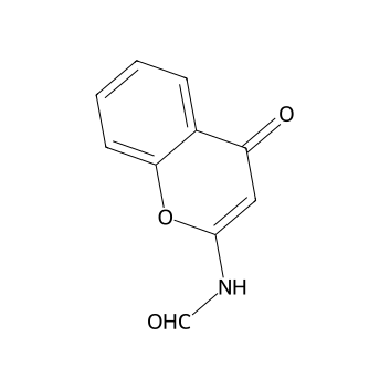 O=CNc1cc(=O)c2ccccc2o1